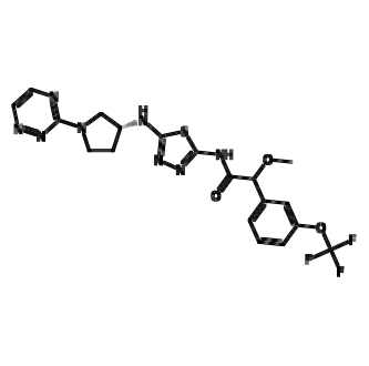 COC(C(=O)Nc1nnc(N[C@@H]2CCN(c3nccnn3)C2)s1)c1cccc(OC(F)(F)F)c1